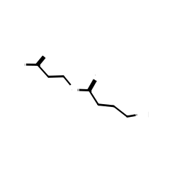 CCCCC(=O)OCCC([O])=O